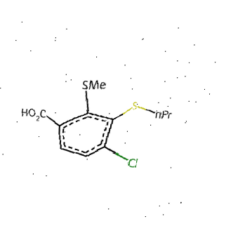 CCCSc1c(Cl)ccc(C(=O)O)c1SC